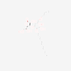 CCCCCCCCCCCCOC(CO)C(CC(O)COCCCC)OC1=C(O)C(=O)O[C@@H]1[C@@H](O)CO